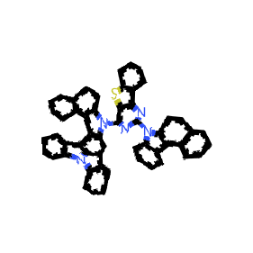 c1ccc2c(c1)ccc1c2c2ccccc2n1-c1nc(-n2c3ccc4ccccc4c3c3c4c5ccccc5n5c6ccccc6c(cc32)c45)c2sc3ccccc3c2n1